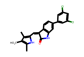 Cc1[nH]c(C=C2C(=O)Nc3cc(-c4cc(Cl)cc(Cl)c4)ccc32)c(C)c1C(=O)O